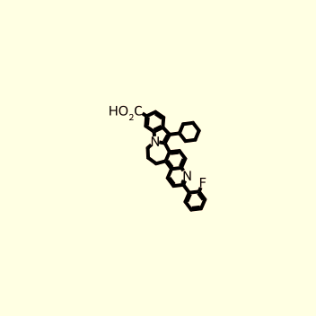 O=C(O)c1ccc2c(C3CCCCC3)c3n(c2c1)CCCc1c-3ccc2nc(-c3ccccc3F)ccc12